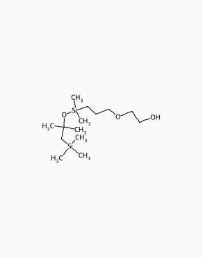 CC(C)(C[Si](C)(C)C)O[Si](C)(C)CCCOCCO